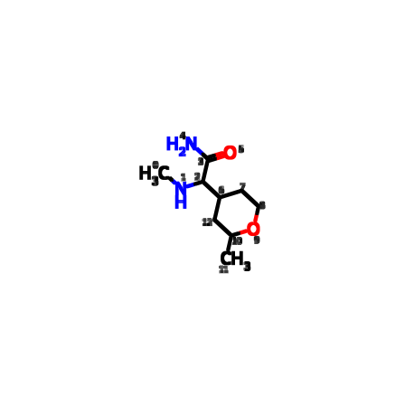 CNC(C(N)=O)C1CCOC(C)C1